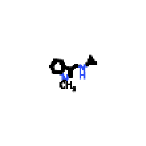 Cn1cc(CNC2CC2)c2ccccc21